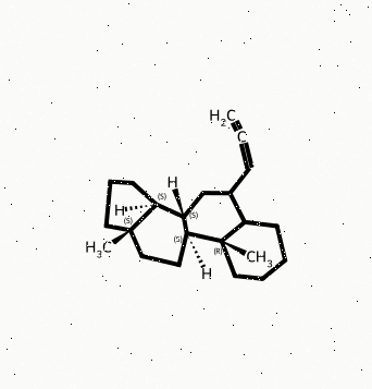 C=C=CC1C[C@H]2[C@@H]3CCC[C@@]3(C)CC[C@@H]2[C@@]2(C)CCCCC12